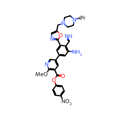 COc1ncc(-c2cc(N)c(C=N)c(-c3ncc(CN4CCN(C(C)C)CC4)o3)c2)cc1C(=O)Oc1ccc([N+](=O)[O-])cc1